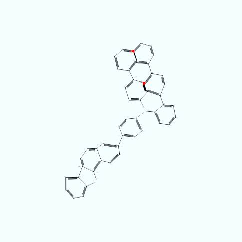 c1ccc(-c2ccc(-c3ccccc3N(c3ccc(-c4ccccc4)cc3)c3ccc(-c4ccc5c(ccc6c7ccccc7oc56)c4)cc3)cc2)cc1